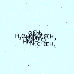 C=CC(=O)N[C@H]1CN(C)C[C@H]1Nc1ncc2cc(-c3c(Cl)c(OC)cc(OC)c3Cl)nc(NCC3CCCO3)c2n1